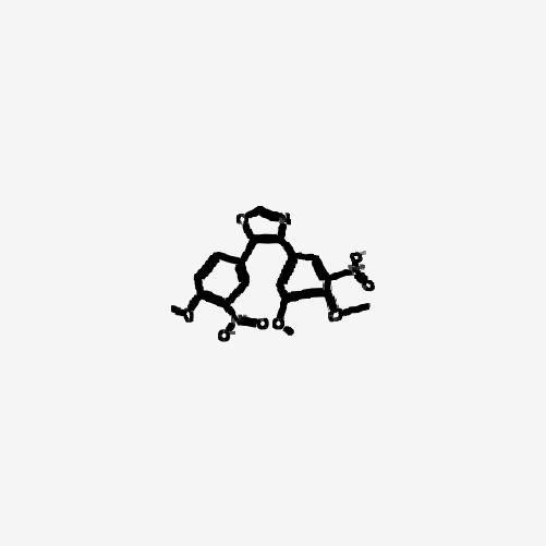 COc1ccc(-c2ocnc2-c2cc(OC)c(OC)c([N+](=O)[O-])c2)cc1[N+](=O)[O-]